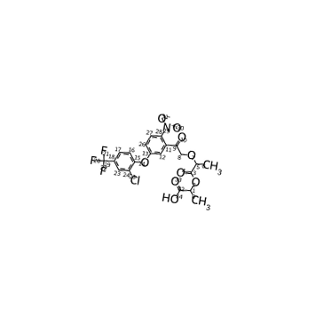 CC(OC(=O)C(C)OCC(=O)c1cc(Oc2ccc(C(F)(F)F)cc2Cl)ccc1[N+](=O)[O-])C(=O)O